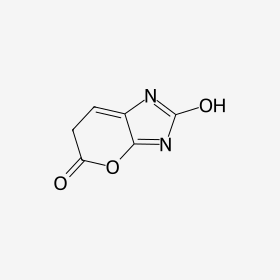 O=C1CC=C2N=C(O)N=C2O1